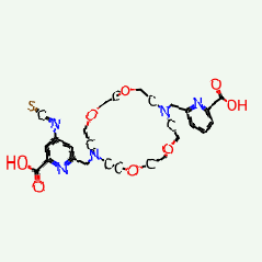 O=C(O)c1cccc(CN2CCOCCOCCN(Cc3cc(N=C=S)cc(C(=O)O)n3)CCOCCOCC2)n1